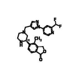 Cc1c([C@@H]2CN(Cc3cnn(-c4ccnc(C(F)F)c4)c3)CCN2)ccc2c1COC2=O